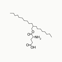 CCCCCCCCCCC(CCCCCCCC)COC(=O)[C@@H](N)CCC(=O)O